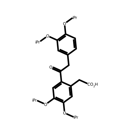 CC(C)Oc1ccc(CC(=O)c2cc(OC(C)C)c(OC(C)C)cc2CC(=O)O)cc1OC(C)C